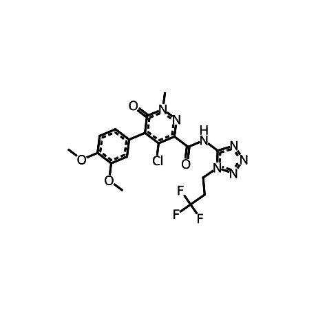 COc1ccc(-c2c(Cl)c(C(=O)Nc3nnnn3CCC(F)(F)F)nn(C)c2=O)cc1OC